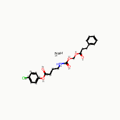 O=C(CCc1ccccc1)OCOC(=O)NCCCC(=O)Oc1ccc(Cl)cc1.[NaH]